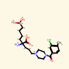 Cc1ccc(C(=O)N2CCN(CCCC(N)(CCCCB(O)O)C(=O)O)CC2)cc1Cl